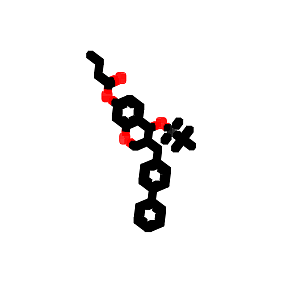 CCCC(=O)Oc1ccc2c(c1)OCC(Cc1ccc(-c3ccccc3)cc1)C2O[Si](C)(C)C(C)(C)C